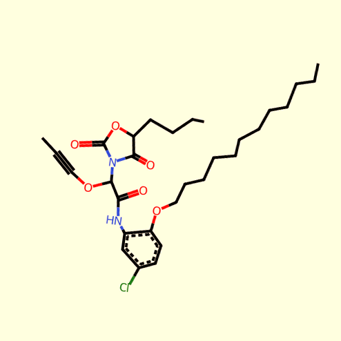 CC#COC(C(=O)Nc1cc(Cl)ccc1OCCCCCCCCCCCC)N1C(=O)OC(CCCC)C1=O